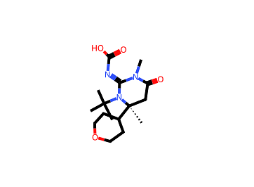 CN1C(=O)C[C@@](C)(C2CCOCC2)N(C(C)(C)C)C1=NC(=O)O